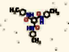 CC1CCC(NC(=O)c2cc(C(=O)NC3CCC(C)CC3)cc(C(=O)NC3CCC(C)CC3)c2)CC1